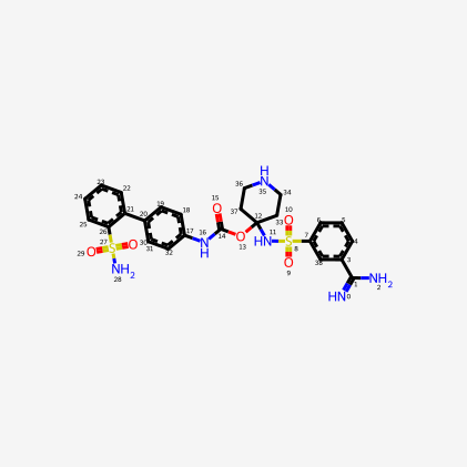 N=C(N)c1cccc(S(=O)(=O)NC2(OC(=O)Nc3ccc(-c4ccccc4S(N)(=O)=O)cc3)CCNCC2)c1